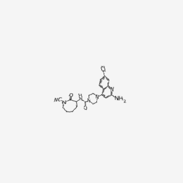 N#CN1CCCCC(NC(=O)N2CCN(c3cc(N)nc4cc(Cl)ccc34)CC2)C1=O